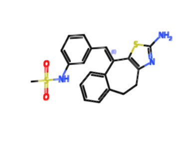 CS(=O)(=O)Nc1cccc(/C=C2\c3ccccc3CCc3nc(N)sc32)c1